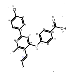 C/C=C/c1c(C)nc(-c2ccc(Cl)cc2)nc1Oc1ccc(C(=O)O)cc1